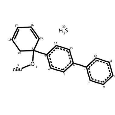 CCCCOC1(c2ccc(-c3ccccc3)cc2)C=CC=CC1.S